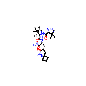 CC(C)(C)[C@H](N)C(=O)N1C[C@H]2[C@@H]([C@H]1C(=O)N[C@@H](C[C@@H]1CC3(CCC3)NC1=O)C(N)=O)C2(C)C